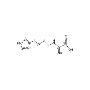 N=C(NCCSCc1c[nH]cn1)C(=O)O